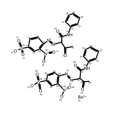 CC(=O)C(N=Nc1ccc(S(=O)(=O)[O-])cc1[N+](=O)[O-])C(=O)Nc1ccccc1.CC(=O)C(N=Nc1ccc(S(=O)(=O)[O-])cc1[N+](=O)[O-])C(=O)Nc1ccccc1.[Ba+2]